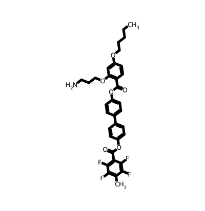 CCCCCOc1ccc(C(=O)Oc2ccc(-c3ccc(OC(=O)c4c(F)c(F)c(C)c(F)c4F)cc3)cc2)c(OCCCN)c1